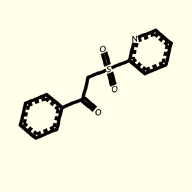 O=C(CS(=O)(=O)c1ccccn1)c1ccccc1